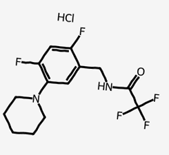 Cl.O=C(NCc1cc(N2CCCCC2)c(F)cc1F)C(F)(F)F